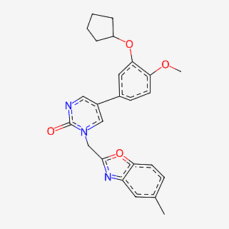 COc1ccc(-c2cnc(=O)n(Cc3nc4cc(C)ccc4o3)c2)cc1OC1CCCC1